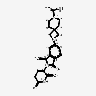 O=C1CCC(N2C(=O)c3ccc(N4CC5(CCN(C(=O)O)CC5)C4)cc3C2=O)C(=O)N1